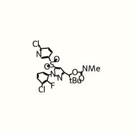 CNC(=O)OC(c1cc(S(=O)(=O)c2ccc(Cl)nc2)n(-c2cccc(Cl)c2F)n1)C(C)(C)C